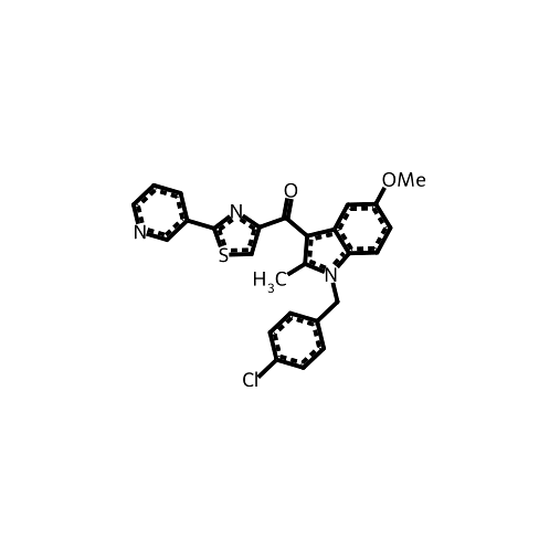 COc1ccc2c(c1)c(C(=O)c1csc(-c3cccnc3)n1)c(C)n2Cc1ccc(Cl)cc1